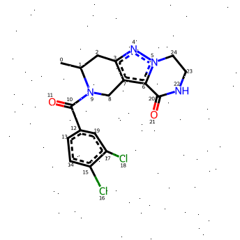 CC1Cc2nn3c(c2CN1C(=O)c1ccc(Cl)c(Cl)c1)C(=O)NCC3